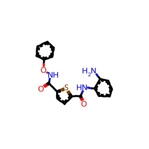 Nc1ccccc1NC(=O)c1ccc(C(=O)NOc2ccccc2)s1